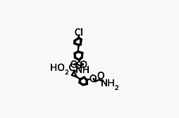 NC(=O)COc1cccc(C2CC2(NS(=O)(=O)c2ccc(-c3ccc(Cl)cc3)cc2)C(=O)O)c1